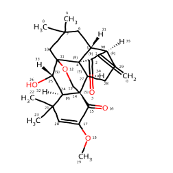 C=C1C(=O)[C@@]23[C@@H]4CC(C)(C)CC25OC[C@]2(C(=O)C(OC)=CC(C)(C)[C@H]2[C@@H]5O)[C@@H]3CC[C@@H]14